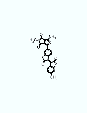 Cc1ccc2c(c1)SC(=O)/C2=C1/C(=O)Sc2cc(-c3sc(C)c4c3C(=O)N(C)C4=O)ccc21